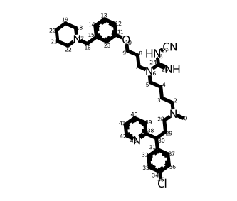 CN(CCCCN(CCCOc1cccc(CN2CCCCC2)c1)C(=N)NC#N)CCC(c1ccc(Cl)cc1)c1ccccn1